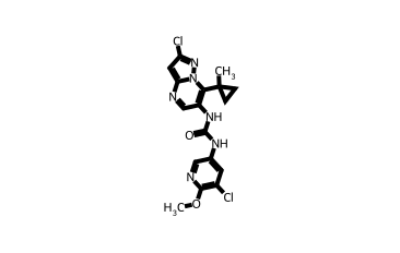 COc1ncc(NC(=O)Nc2cnc3cc(Cl)nn3c2C2(C)CC2)cc1Cl